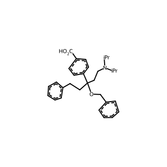 CC(C)N(CCC(CCc1ccccc1)(OCc1ccccc1)c1ccc(C(=O)O)cc1)C(C)C